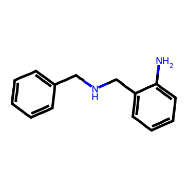 Nc1ccccc1CNCc1ccccc1